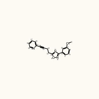 COc1cccc(-c2noc(CCC#Cc3ccccn3)n2)c1